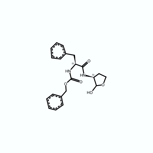 O=C(N[C@@H](Cc1ccccc1)C(=O)N[C@H]1CCOC1O)OCc1ccccc1